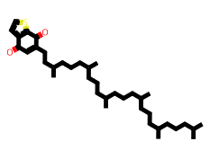 CC(C)CCCC(C)CCCC(C)CCCC(C)CCCC(C)CCCC(C)CCC1=CC(=O)c2ccsc2C1=O